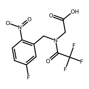 O=C(O)CN(Cc1cc(F)ccc1[N+](=O)[O-])C(=O)C(F)(F)F